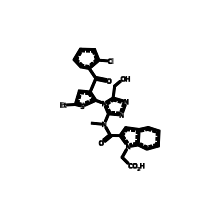 CCc1cc(C(=O)c2ccccc2Cl)c(-n2c(CO)nnc2N(C)C(=O)c2cc3ccccc3n2CC(=O)O)s1